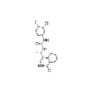 CC(c1c[nH]c(=O)c2ccccc12)N(C)C(=O)Nc1ccc(F)c(Cl)c1